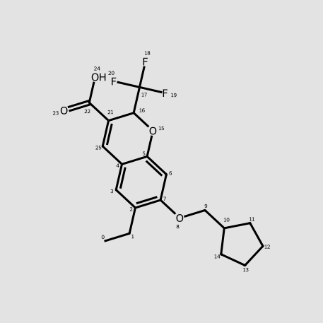 CCc1cc2c(cc1OCC1CCCC1)OC(C(F)(F)F)C(C(=O)O)=C2